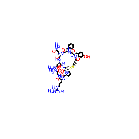 N=C(N)NCCC[C@H](NC(=O)C1CCCN1C(=O)[C@@H]1CSSCCC(=O)N[C@@H](Cc2ccc(O)cc2)C(=O)N[C@@H](Cc2ccccc2)C(=O)N[C@@H](CCC(N)=O)C(=O)N[C@@H](CC(N)=O)C(=O)N1)C(=O)NCC(N)=O